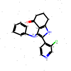 O=C1CCCc2[nH]c(-c3ccncc3Cl)c(Nc3ccccc3)c21